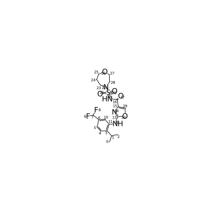 CC(C)c1ccc(C(F)F)cc1Nc1nc(C(=O)NS(=O)(=O)N2CCCOCC2)co1